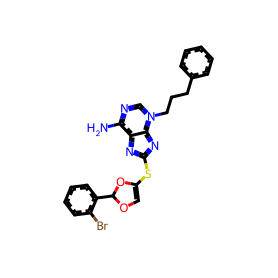 Nc1ncn(CCCc2ccccc2)c2nc(SC3=COC(c4ccccc4Br)O3)nc1-2